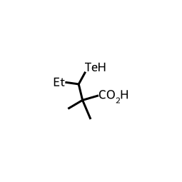 CCC([TeH])C(C)(C)C(=O)O